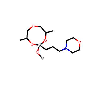 CCO[Si]1(CCCN2CCOCC2)OC(C)COCC(C)O1